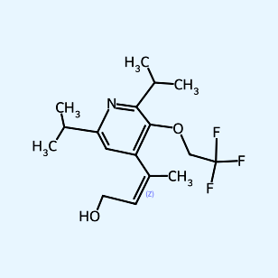 C/C(=C/CO)c1cc(C(C)C)nc(C(C)C)c1OCC(F)(F)F